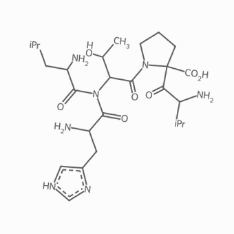 CC(C)CC(N)C(=O)N(C(=O)C(N)Cc1c[nH]cn1)C(C(=O)N1CCCC1(C(=O)O)C(=O)C(N)C(C)C)C(C)O